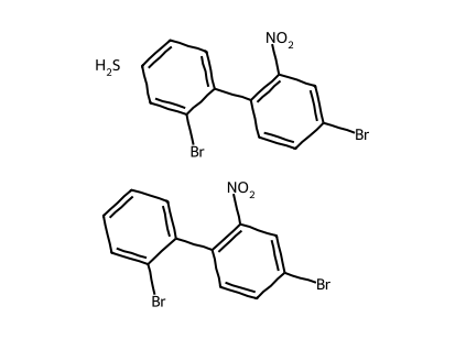 O=[N+]([O-])c1cc(Br)ccc1-c1ccccc1Br.O=[N+]([O-])c1cc(Br)ccc1-c1ccccc1Br.S